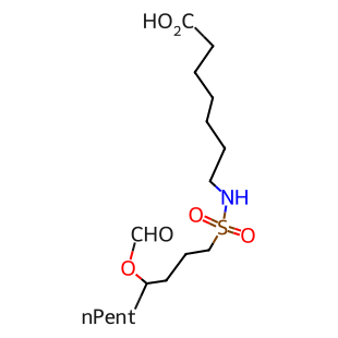 CCCCCC(CCCS(=O)(=O)NCCCCCCC(=O)O)OC=O